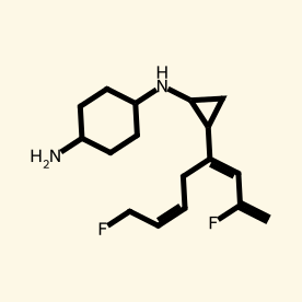 C=C(F)/C=C(\C/C=C\CF)C1CC1NC1CCC(N)CC1